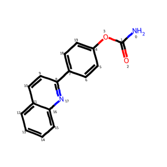 NC(=O)Oc1ccc(-c2ccc3ccccc3n2)cc1